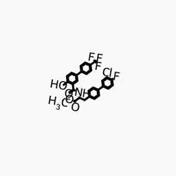 COC(=O)C(Cc1ccc(-c2ccc(F)c(Cl)c2)cc1)NC(=O)c1cc(-c2ccc(C(F)(F)F)cc2)ccc1O